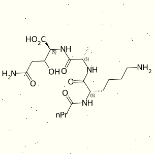 CCCC(=O)N[C@@H](CCCCN)C(=O)N[C@@H](C)C(=O)N[C@H](C(=O)O)C(O)CC(N)=O